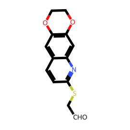 O=CCSc1ccc2cc3c(cc2n1)OCCO3